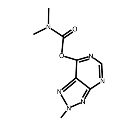 CN(C)C(=O)Oc1ncnc2nn(C)nc12